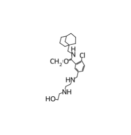 O=C(NCC12CCCC(CCC1)C2)c1cc(CNCCNCCO)ccc1Cl.[CH2]